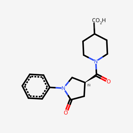 O=C(O)C1CCN(C(=O)[C@H]2CC(=O)N(c3ccccc3)C2)CC1